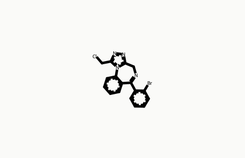 ClCc1nnc2n1-c1ccccc1C(c1ccccc1Br)=NC2